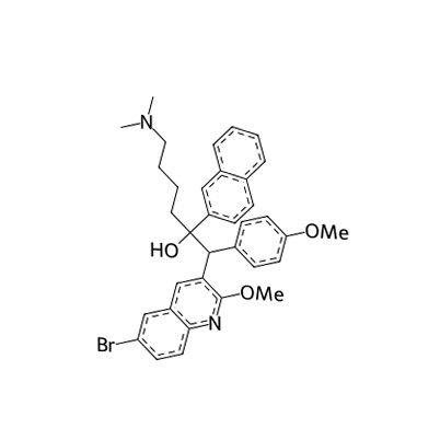 COc1ccc(C(c2cc3cc(Br)ccc3nc2OC)C(O)(CCCCN(C)C)c2ccc3ccccc3c2)cc1